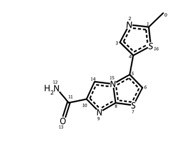 Cc1ncc(-c2csc3nc(C(N)=O)cn23)s1